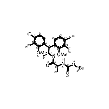 COc1c(C(c2ccc(F)c(F)c2OC)[C@H](C)OC(=O)[C@H](C)NC(=O)OC(C)(C)C)ccc(F)c1F